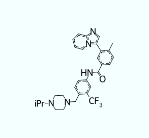 Cc1ccc(C(=O)Nc2ccc(CN3CCN(C(C)C)CC3)c(C(F)(F)F)c2)cc1-c1cnc2ccccn12